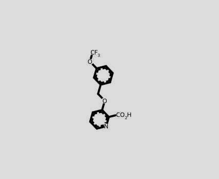 O=C(O)c1ncccc1OCc1cccc(OC(F)(F)F)c1